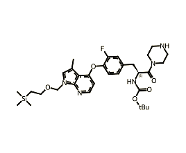 Cc1cn(COCC[Si](C)(C)C)c2nccc(Oc3ccc(C[C@H](NC(=O)OC(C)(C)C)C(=O)N4CCNCC4)cc3F)c12